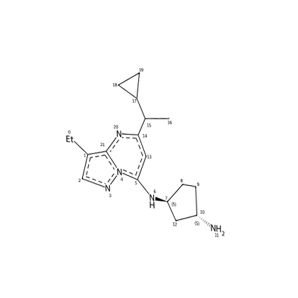 CCc1cnn2c(N[C@H]3CC[C@H](N)C3)cc(C(C)C3CC3)nc12